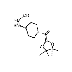 C=C(B1OC(C)(C)C(C)(C)O1)[C@H]1CC[C@H](NB(C)O)CC1